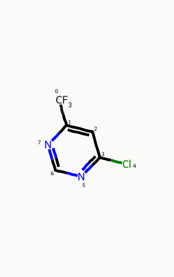 FC(F)(F)c1cc(Cl)ncn1